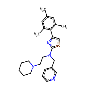 Cc1cc(C)c(-c2csc(N(CCN3CCCCC3)Cc3cccnc3)n2)c(C)c1